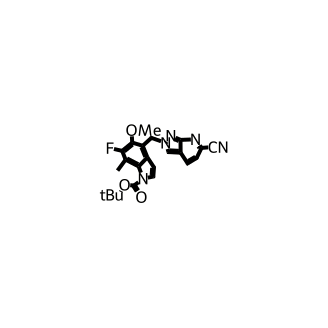 COc1c(F)c(C)c2c(ccn2C(=O)OC(C)(C)C)c1Cn1cc2ccc(C#N)nc2n1